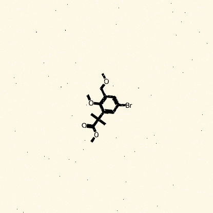 COCc1cc(Br)cc(C(C)(C)C(=O)OC)c1OC